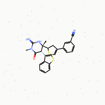 CN1C(=N)N[C@](C)(C2CC(c3cccc(C#N)c3)=CS2)[C@H](c2csc3ccccc23)C1=O